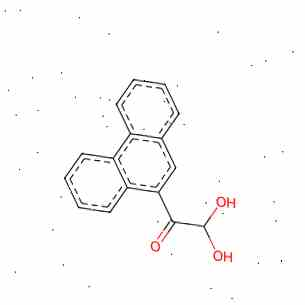 O=C(c1cc2ccccc2c2ccccc12)C(O)O